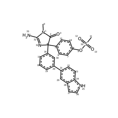 CN1C(=O)C(c2ccc(OS(C)(=O)=O)cc2)(c2cccc(-c3ccc4[nH]ccc4c3)c2)N=C1N